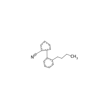 CCCCc1ccccc1-c1ccccc1C#N